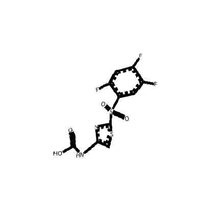 O=C(O)Nc1csc(S(=O)(=O)c2cc(F)c(F)cc2F)n1